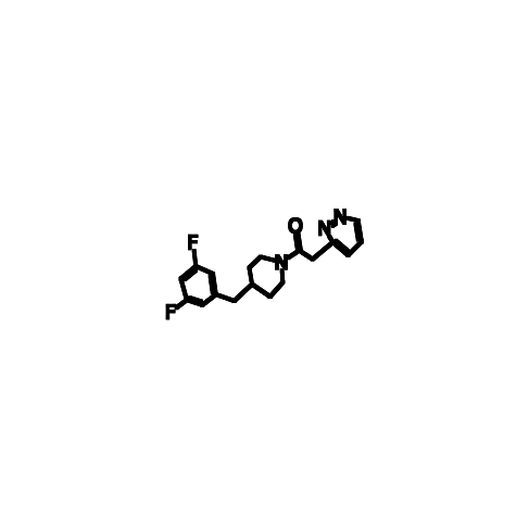 O=C(Cc1cccnn1)N1CCC(Cc2cc(F)cc(F)c2)CC1